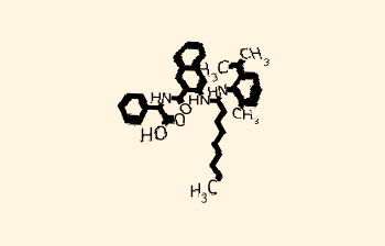 CCCCCCCCC(Nc1cc2ccccc2cc1C(=O)NC(C(=O)O)c1ccccc1)Nc1c(C)cccc1C(C)C